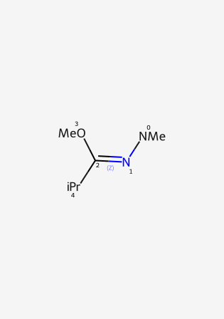 CN/N=C(\OC)C(C)C